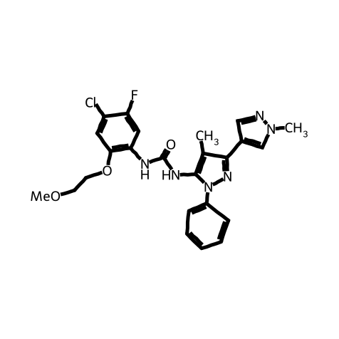 COCCOc1cc(Cl)c(F)cc1NC(=O)Nc1c(C)c(-c2cnn(C)c2)nn1-c1ccccc1